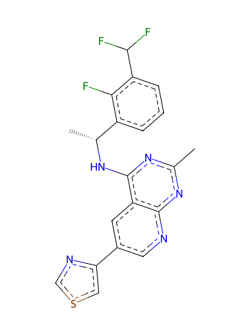 Cc1nc(N[C@H](C)c2cccc(C(F)F)c2F)c2cc(-c3cscn3)cnc2n1